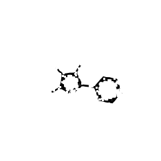 CC(=O)c1c(C)sc(-c2ccncc2)c1C